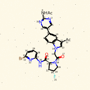 CC(=O)Nc1ncc(-c2ccc3c(c2)c(C(C)=O)cn3CC(=O)N2C[C@H](F)C[C@H]2C(=O)Nc2cccc(Br)n2)cn1